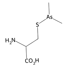 C[As](C)SCC(N)C(=O)O